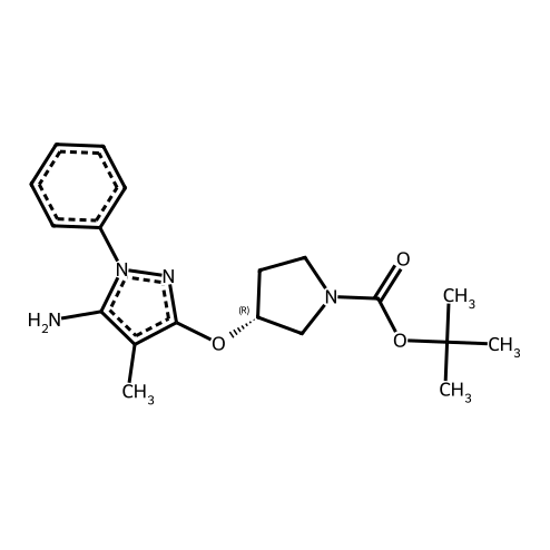 Cc1c(O[C@@H]2CCN(C(=O)OC(C)(C)C)C2)nn(-c2ccccc2)c1N